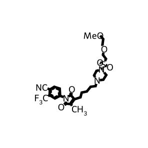 COCCOCCS(=O)(=O)N1CCN(CCCCCC2=C(C)C(=O)N(c3ccc(C#N)c(C(F)(F)F)c3)C2=O)CC1